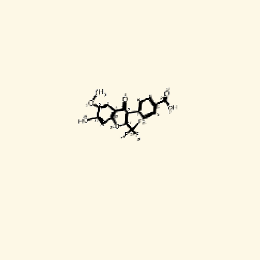 COc1cc2c(=O)c(-c3ccc(C(=O)O)cc3)c(C(F)(F)F)oc2cc1O